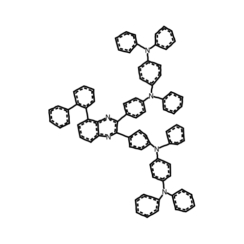 c1ccc(-c2ccccc2-c2cccc3nc(-c4ccc(N(c5ccccc5)c5ccc(N(c6ccccc6)c6ccccc6)cc5)cc4)c(-c4ccc(N(c5ccccc5)c5ccc(N(c6ccccc6)c6ccccc6)cc5)cc4)nc23)cc1